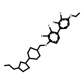 CCCC1CCC(C2CCC(COc3ccc(-c4ccc(OCC)c(F)c4F)c(F)c3F)CC2)C1